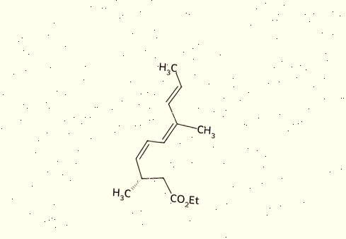 C/C=C/C(C)=C\C=C/[C@@H](C)CC(=O)OCC